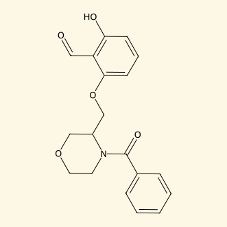 O=Cc1c(O)cccc1OCC1COCCN1C(=O)c1ccccc1